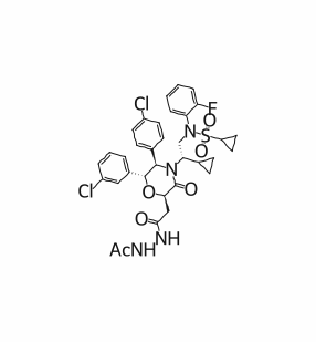 CC(=O)NNC(=O)C[C@H]1O[C@H](c2cccc(Cl)c2)[C@@H](c2ccc(Cl)cc2)N([C@H](CN(c2ccccc2F)S(=O)(=O)C2CC2)C2CC2)C1=O